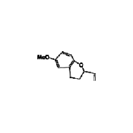 C=CC1CCc2cc(OC)ccc2O1